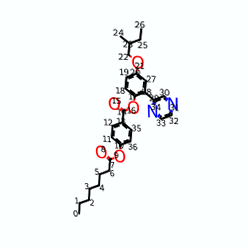 CCCCCCCC(=O)Oc1ccc(C(=O)Oc2ccc(OCC(C)CC)cc2-c2cnccn2)cc1